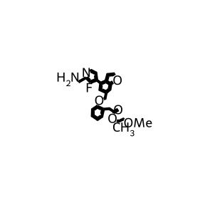 COCC(C)OC(=O)Cc1ccccc1OCc1cc(-c2ccnc(CN)c2F)c2ccoc2c1